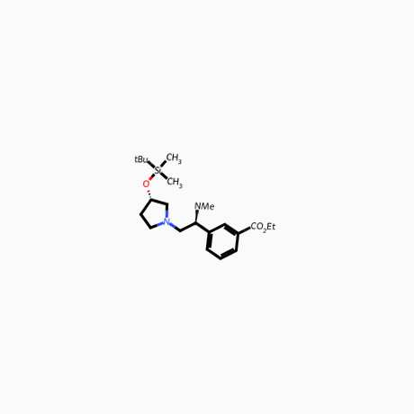 CCOC(=O)c1cccc([C@@H](CN2CC[C@H](O[Si](C)(C)C(C)(C)C)C2)NC)c1